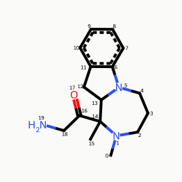 CN1CCCN2c3ccccc3CC2C1(C)C(=O)CN